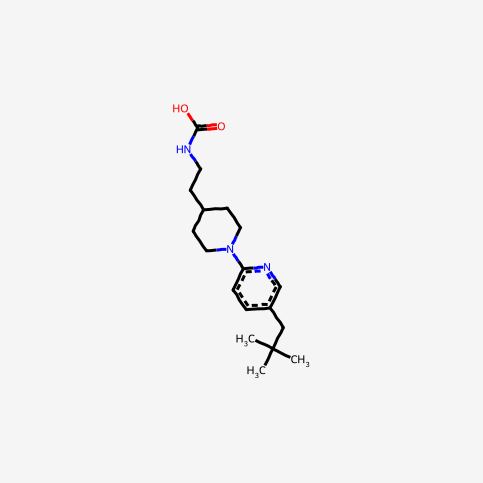 CC(C)(C)Cc1ccc(N2CCC(CCNC(=O)O)CC2)nc1